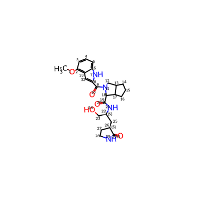 COc1cccc2[nH]c(C(=O)N3CC4CCCC4C3C(=O)N[C@H](CO)C[C@@H]3CCNC3=O)cc12